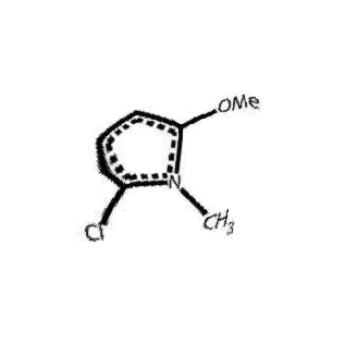 COc1ccc(Cl)n1C